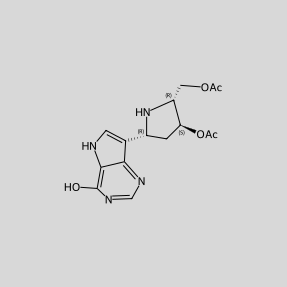 CC(=O)OC[C@H]1N[C@@H](c2c[nH]c3c(O)ncnc23)C[C@@H]1OC(C)=O